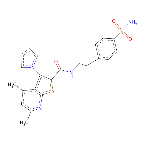 Cc1cc(C)c2c(-n3cccc3)c(C(=O)NCCc3ccc(S(N)(=O)=O)cc3)sc2n1